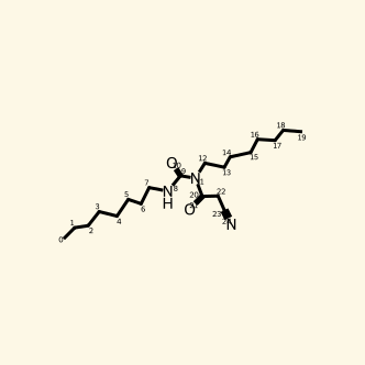 CCCCCCCCNC(=O)N(CCCCCCCC)C(=O)CC#N